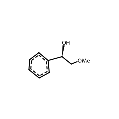 COC[C@H](O)c1ccccc1